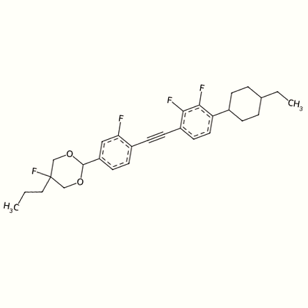 CCCC1(F)COC(c2ccc(C#Cc3ccc(C4CCC(CC)CC4)c(F)c3F)c(F)c2)OC1